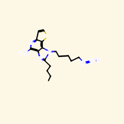 CCCCc1nc2c(N)nc3ccsc3c2n1CCCCCN=[N+]=[N-]